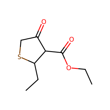 CCOC(=O)C1C(=O)CSC1CC